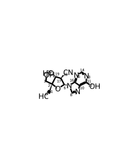 C#C[C@]1(CO)O[C@@H](n2cnc3c(O)ncnc32)[C@H](C#N)[C@H]1O